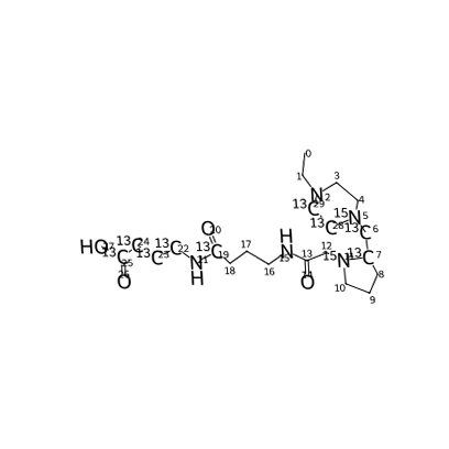 CCN1CC[15N]([13CH2][13CH]2CCC[15N]2CC(=O)NCCC[13C](=O)N[13CH2][13CH2][13CH2][13C](=O)O)[13CH2][13CH2]1